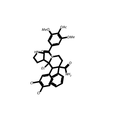 CCC1(C2CCNC2)C(c2ccc(Cl)c(Cl)c2)C(C(N)=O)(c2ccccc2)CCN1C(=O)c1cc(OC)c(OC(C)=O)c(OC)c1